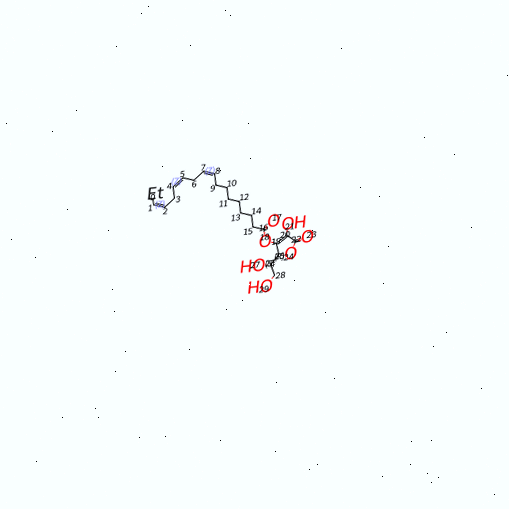 CC/C=C\C/C=C\C/C=C\CCCCCCCC(=O)OC1=C(O)C(=O)O[C@@H]1[C@@H](O)CO